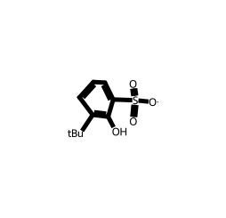 CC(C)(C)c1cccc(S([O])(=O)=O)c1O